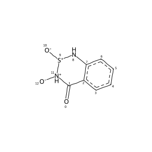 O=C1c2ccccc2N[S+]([O-])[NH+]1[O-]